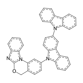 c1ccc2c(c1)nc1n2-c2cc(-n3c4ccccc4c4cc(-n5c6ccccc6c6ccccc65)ccc43)ccc2CO1